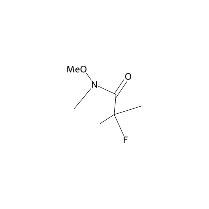 CON(C)C(=O)C(C)(C)F